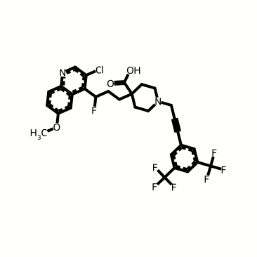 COc1ccc2ncc(Cl)c(C(F)CCC3(C(=O)O)CCN(CC#Cc4cc(C(F)(F)F)cc(C(F)(F)F)c4)CC3)c2c1